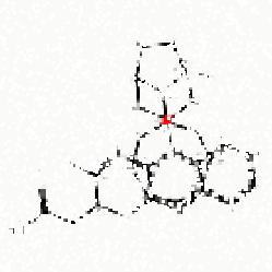 O=C(O)CC(Nc1nc2ccccc2n(C2CC3CC[C@H](C2)N3C2CCCCCCC2)c1=O)C(=O)O